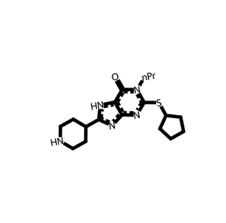 CCCn1c(SC2CCCC2)nc2nc(C3CCNCC3)[nH]c2c1=O